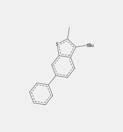 Cc1sc2cc(-c3ccccc3)ccc2c1C(C)(C)C